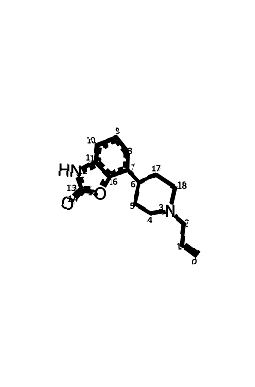 C=CCN1CCC(c2cccc3[nH]c(=O)oc23)CC1